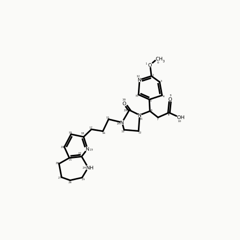 COc1ccc(C(CC(=O)O)N2CCN(CCCc3ccc4c(n3)NCCCC4)C2=O)cn1